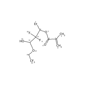 C=C(C)C(=O)OC(CC)C(F)(F)C(O)OCC(F)(F)F